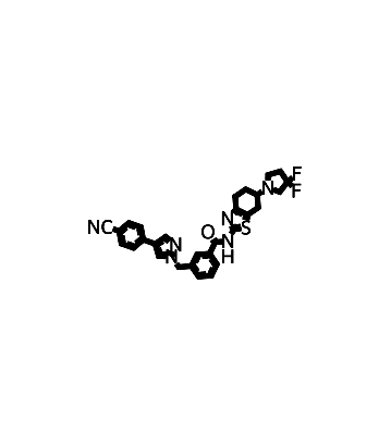 N#Cc1ccc(-c2cnn(Cc3cccc(C(=O)Nc4nc5c(s4)CC(N4CCC(F)(F)C4)CC5)c3)c2)cc1